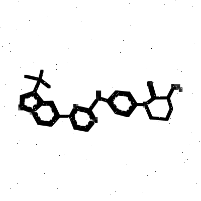 CC(C)(C)c1cnn2ccc(-c3ccnc(Nc4ccc(N5CCCC(N)C5=O)cc4)n3)cc12